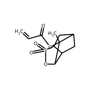 C=CC(=O)OC1(C)C2CC3C1OS(=O)(=O)C3C2